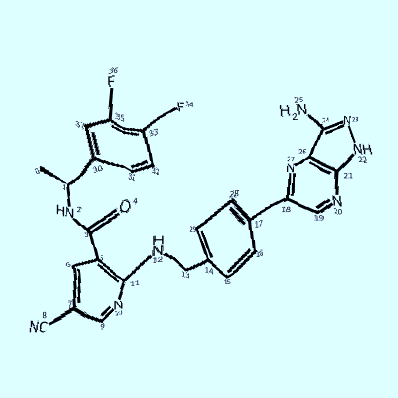 C[C@H](NC(=O)c1cc(C#N)cnc1NCc1ccc(-c2cnc3[nH]nc(N)c3n2)cc1)c1ccc(F)c(F)c1